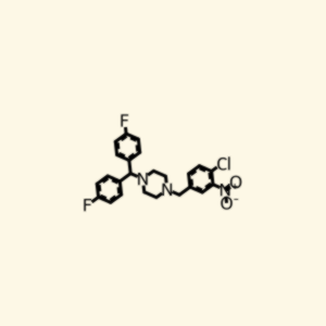 O=[N+]([O-])c1cc(CN2CCN(C(c3ccc(F)cc3)c3ccc(F)cc3)CC2)ccc1Cl